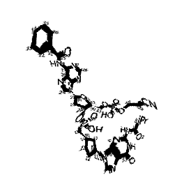 CC(C)C(=O)Nc1nc2c(ncn2[C@H]2CC[C@@H](CP(=O)(O)O[C@H]3C[C@H](n4cnc5c(NC(=O)c6ccccc6)ncnc54)O[C@@H]3COP(=O)(O)OCCC#N)C2)c(=O)[nH]1